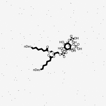 CCCCCCCCCCCCCCCC(=O)OC[C@H](COP(=O)(O)O[C@@H]1[C@H](O)[C@H](O)[C@@H](OP(=O)(O)O)[C@H](OP(=O)(O)O)[C@H]1O)OC(=O)CCCCCCCCCCCCCCC